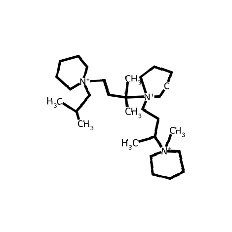 CC(C)C[N+]1(CCC(C)(C)[N+]2(CCC(C)[N+]3(C)CCCCC3)CCCCC2)CCCCC1